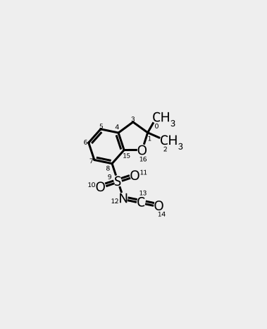 CC1(C)Cc2cccc(S(=O)(=O)N=C=O)c2O1